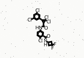 O=C(NC1CC(F)(F)C1)c1cc(NC(=O)C2C(c3cc(Cl)cc(Cl)c3)C2(Cl)Cl)ccc1Cl